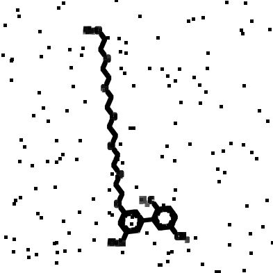 CNc1cc(OCCOCCOCCOCCOCCOCCOC)cc(-c2cc(C)ccc2C)c1